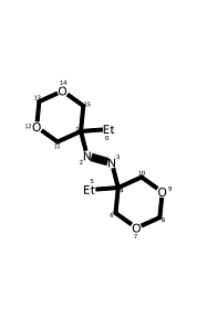 CCC1(/N=N/C2(CC)COCOC2)COCOC1